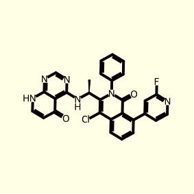 C[C@H](Nc1ncnc2[nH]ccc(=O)c12)c1c(Cl)c2cccc(-c3ccnc(F)c3)c2c(=O)n1-c1ccccc1